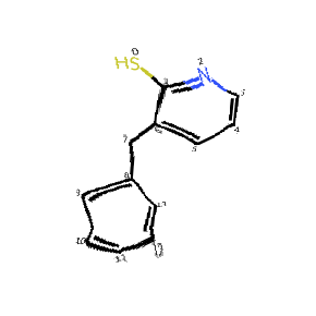 Sc1ncccc1Cc1ccccc1